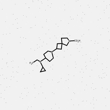 O=C(O)N1CCC2(CC(N3CCC(N(CC(F)(F)F)C4CC4)CC3)C2)C1